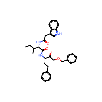 CCC(C)[C@H](NC(=O)Cc1c[nH]c2ccccc12)C(=O)N[C@@H](CCc1ccccc1)C(=O)COCc1ccccc1